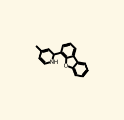 CC1=CC(c2cccc3c2oc2ccccc23)NC=C1